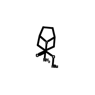 CCCCOC(=O)N1C2CCC1CC(N)C2